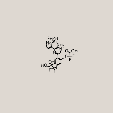 O=C(O)C(F)(F)F.[2H]C([2H])([2H])n1nccc1-c1nc(-c2cc(C(O)(CO)C(F)(F)F)ccc2C)cnc1N